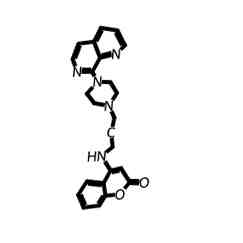 O=c1cc(NCCCN2CCN(c3nccc4cccnc34)CC2)c2ccccc2o1